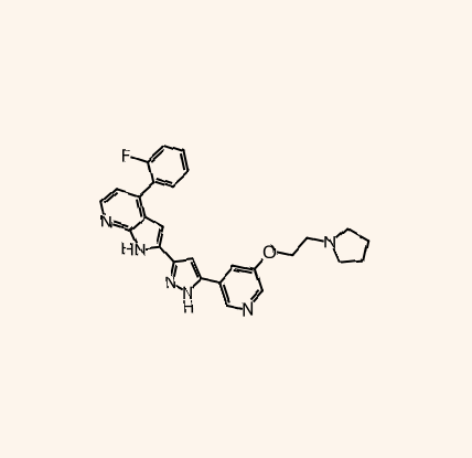 Fc1ccccc1-c1ccnc2[nH]c(-c3cc(-c4cncc(OCCN5CCCC5)c4)[nH]n3)cc12